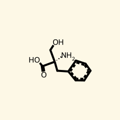 N[C@](CO)(Cc1ccccc1)C(=O)O